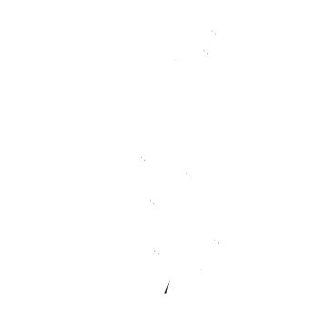 CC[C@@H]1C(=O)N(C)c2cnc(Nc3ccc(C(=O)NN)cc3)nc2N1C1CCCC1